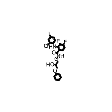 O=C(NOCC(O)COc1ccccc1)c1ccc(F)c(F)c1Nc1ccc(I)cc1Cl